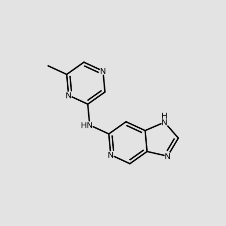 Cc1cncc(Nc2cc3[nH]cnc3cn2)n1